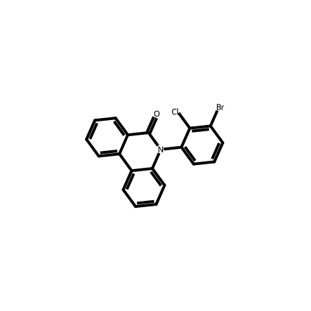 O=c1c2ccccc2c2ccccc2n1-c1cccc(Br)c1Cl